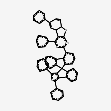 C1=CC2Sc3nc(-c4cccc5c4-c4ccccc4C54c5ccccc5-c5c(-c6ccccc6)sc(-c6ccccc6)c54)nc(-c4ccccc4)c3C2C=C1c1ccccc1